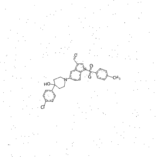 Cc1ccc(S(=O)(=O)n2cc(C=O)c3cc(N4CCC(O)(c5ccc(Cl)cc5)CC4)ccc32)cc1